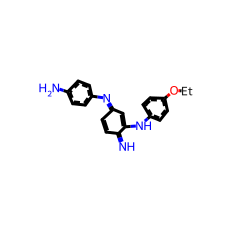 CCOc1ccc(NC2=C/C(=N/c3ccc(N)cc3)C=CC2=N)cc1